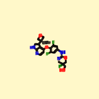 COC1(c2c[nH]c3nccc(Oc4c(F)cc(NC5=NC[C@@](F)(CO)CO5)cc4F)c23)COC1